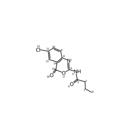 CCCC(=O)Nc1nc2ccc(Cl)cc2c(=O)o1